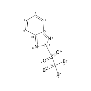 O=S(=O)(n1nc2ccccc2n1)C(Br)(Br)Br